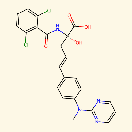 CN(c1ccc(/C=C/C[C@@](O)(NC(=O)c2c(Cl)cccc2Cl)C(=O)O)cc1)c1ncccn1